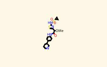 COC(C(=O)Nc1ccc(-c2cccnc2)cc1)c1csc(NS(=O)(=O)C2CC2)n1